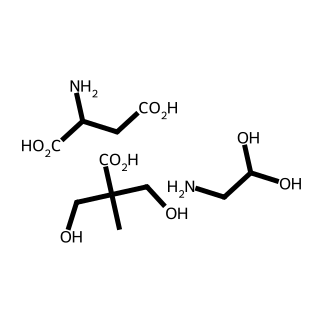 CC(CO)(CO)C(=O)O.NC(CC(=O)O)C(=O)O.NCC(O)O